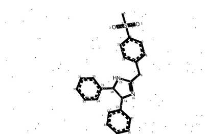 CS(=O)(=O)c1ccc(CC2=NC(c3ccccc3)C(c3ccccc3)N2)cc1